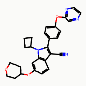 N#Cc1c(-c2ccc(Oc3cnccn3)cc2)n(C2CCC2)c2cc(OC3CCOCC3)ccc12